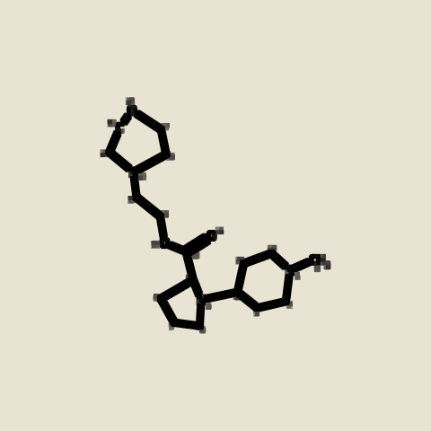 CN1CCC(N2CCCC2C(=O)OCCN2CCOCC2)CC1